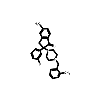 Cc1ccc2c(c1)CC(c1cccc(F)c1)(N1CCN(Cc3ccccc3C)CC1)C2=O